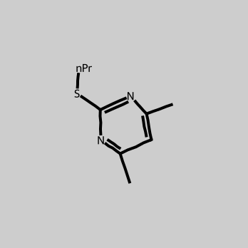 CCCSc1nc(C)cc(C)n1